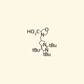 CC(C)(C)C1=NC(C(C)(C)C)C(C(C)(C)C)=C2CC(CN3CCOCC3C(=O)O)CN12